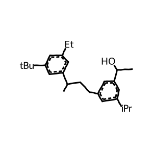 CCc1cc(C(C)CCc2cc(C(C)C)cc(C(C)O)c2)cc(C(C)(C)C)c1